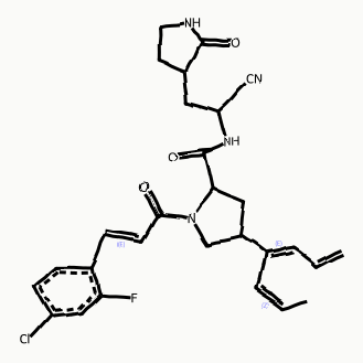 C=C/C=C(\C=C/C)C1CC(C(=O)NC(C#N)CC2CCNC2=O)N(C(=O)/C=C/c2ccc(Cl)cc2F)C1